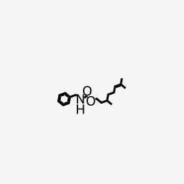 CC(C)=CCCC(C)CCOC(=O)NCc1ccccc1